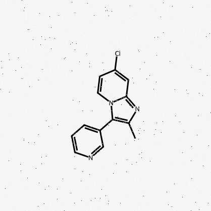 Cc1nc2cc(Cl)ccn2c1-c1cccnc1